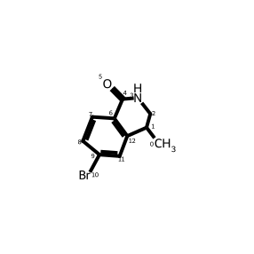 CC1CNC(=O)c2ccc(Br)cc21